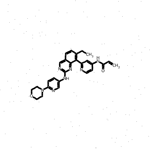 C=CC(=O)Nc1ccnc(-c2c(CC)ccc3cnc(Nc4ccc(N5CCOCC5)nc4)nc23)c1